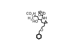 CC(CC(O)C(CC1(CCOCc2ccccc2)CC1)NC(=O)OC(C)(C)C)C(=O)O